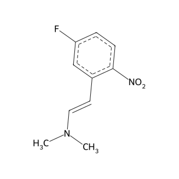 CN(C)/C=C/c1cc(F)ccc1[N+](=O)[O-]